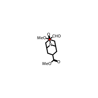 COC(=O)C1CC2CC(=O)CC(C1)N2C(C=O)OC